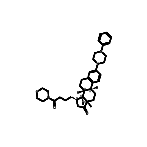 C[C@]12CC[C@@H]3c4ccc(N5CCN(c6ccccc6)CC5)cc4CC[C@H]3[C@@H]1[C@@H](CCCC(=O)N1CCOCC1)CC2=O